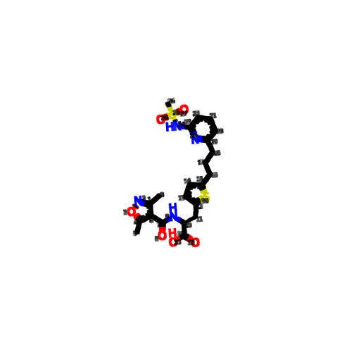 Cc1noc(C)c1C(=O)N[C@@H](Cc1ccc(CCCc2cccc(NS(C)(=O)=O)n2)s1)C(=O)O